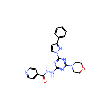 O=C(NNc1nc(N2CCOCC2)nc(-n2ccc(-c3ccccc3)n2)n1)c1ccncc1